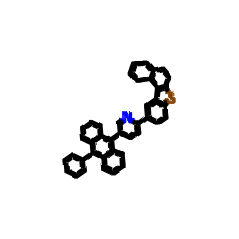 c1ccc(-c2c3ccccc3c(-c3ccc(-c4ccc5sc6ccc7ccccc7c6c5c4)nc3)c3ccccc23)cc1